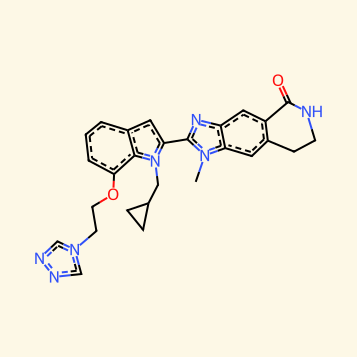 Cn1c(-c2cc3cccc(OCCn4cnnc4)c3n2CC2CC2)nc2cc3c(cc21)CCNC3=O